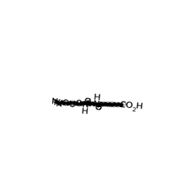 [N-]=[N+]=NCCOCCOCCOCCNC(=O)CCCNC(=O)CCCCCCCCCCC(=O)O